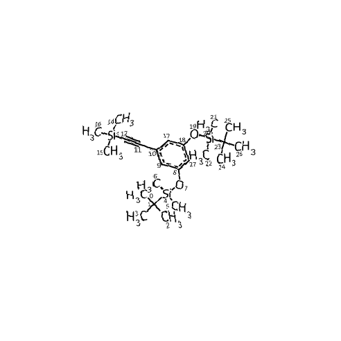 CC(C)(C)[Si](C)(C)Oc1cc(C#C[Si](C)(C)C)cc(O[Si](C)(C)C(C)(C)C)c1